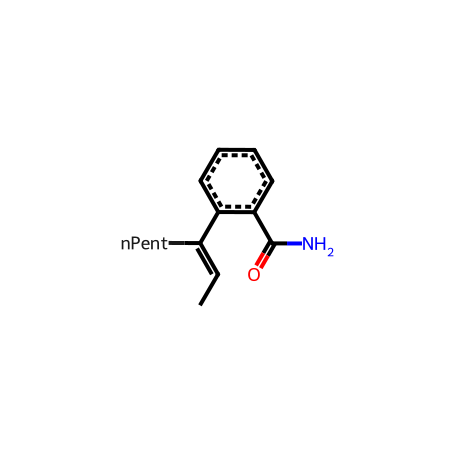 CC=C(CCCCC)c1ccccc1C(N)=O